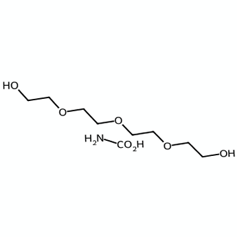 NC(=O)O.OCCOCCOCCOCCO